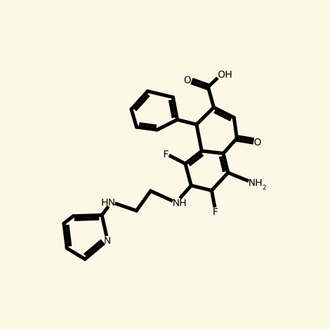 NC1=C2C(=O)C=C(C(=O)O)C(c3ccccc3)C2=C(F)C(NCCNc2ccccn2)C1F